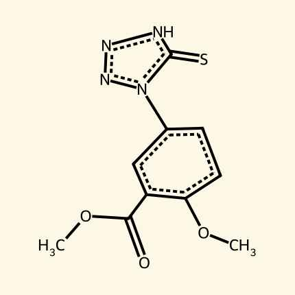 COC(=O)c1cc(-n2nn[nH]c2=S)ccc1OC